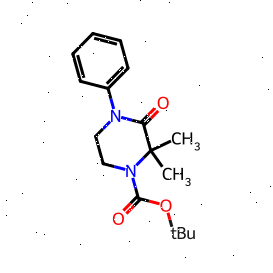 CC(C)(C)OC(=O)N1CCN(c2ccccc2)C(=O)C1(C)C